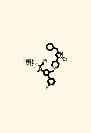 CCn1nc(CC2CCCCC2)cc1C1CCN(CC2CC(N(C)[C@H](CC(C)C)C(=O)O)CC2c2cccc(F)c2)CC1.Cl.Cl.Cl